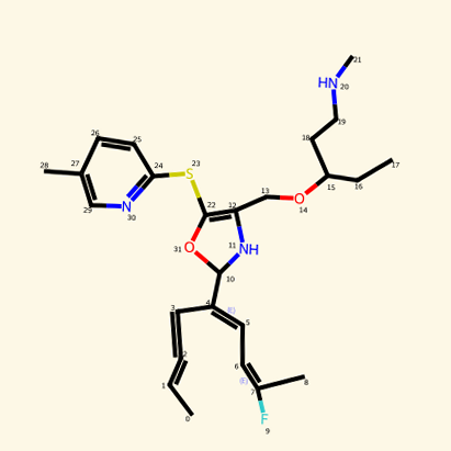 CC=C=C/C(=C\C=C(/C)F)C1NC(COC(CC)CCNC)=C(Sc2ccc(C)cn2)O1